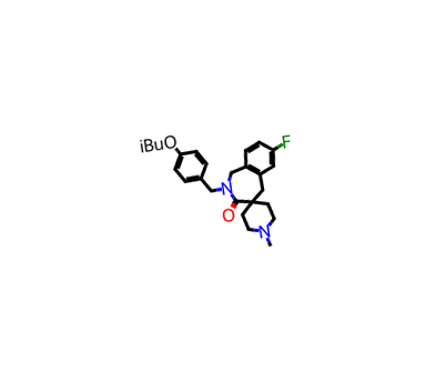 CC(C)COc1ccc(CN2Cc3ccc(F)cc3CC3(CCN(C)CC3)C2=O)cc1